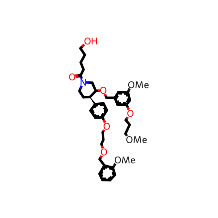 COCCCOc1cc(COC2CN(C(=O)CCCCO)CC[C@@H]2c2ccc(OCCCOCc3ccccc3OC)cc2)cc(OC)c1